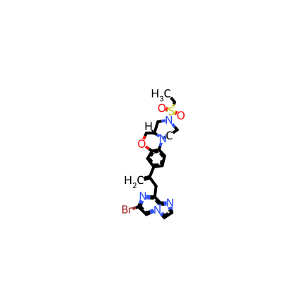 C=C(Cc1nc(Br)cn2ccnc12)c1ccc2c(c1)OC[C@H]1CN(S(=O)(=O)CC)CCN21